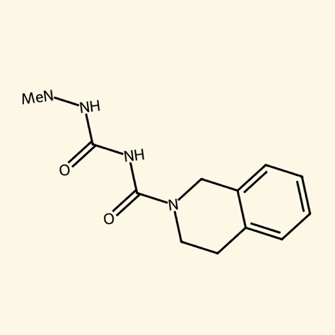 CNNC(=O)NC(=O)N1CCc2ccccc2C1